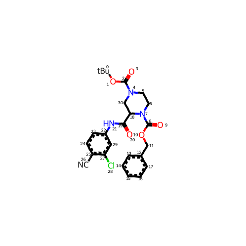 CC(C)(C)OC(=O)N1CCN(C(=O)OCc2ccccc2)C(C(=O)Nc2ccc(C#N)c(Cl)c2)C1